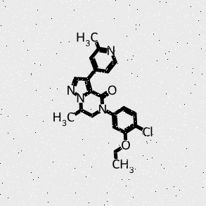 CCOc1cc(N2CC(C)n3ncc(-c4ccnc(C)c4)c3C2=O)ccc1Cl